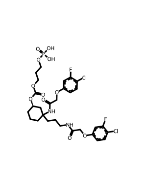 O=C(COc1ccc(Cl)c(F)c1)NCCCC1(NC(=O)COc2ccc(Cl)c(F)c2)CCC[C@@H](OC(=O)OCCCOP(=O)(O)O)C1